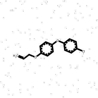 C=CCOc1ccc(Oc2ccc(Cl)cc2)cc1